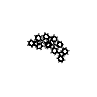 c1ccc([Si](c2ccccc2)(c2cccc(-n3c4ccccc4c4ccccc43)c2)c2cccc3c2sc2c([Si](c4ccccc4)(c4ccccc4)c4cccc5c4sc4ccccc45)cccc23)cc1